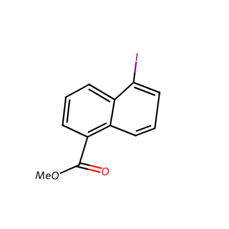 COC(=O)c1cccc2c(I)cccc12